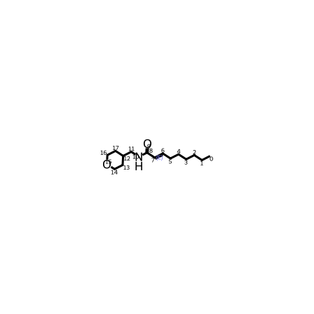 CCCCCC/C=C/C(=O)NCC1CCOCC1